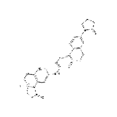 O=C1CCCN1c1ccc2c(c1)OCc1cc(Nc3cnc4c(c3)N3C(=O)CC[C@H]3CO4)ncc1-2